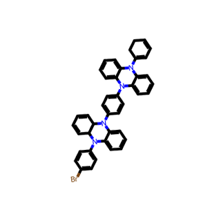 Brc1ccc(N2c3ccccc3N(c3ccc(N4c5ccccc5N(C5=CC=CCC5)c5ccccc54)cc3)C3C=CC=CC32)cc1